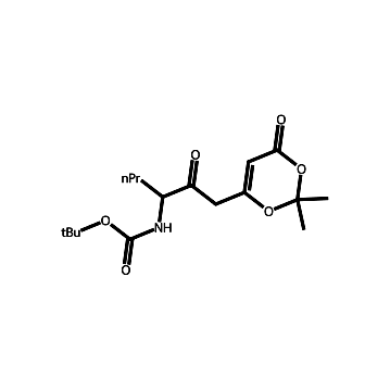 CCCC(NC(=O)OC(C)(C)C)C(=O)CC1=CC(=O)OC(C)(C)O1